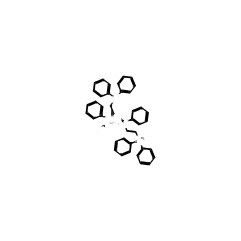 C[Si](CCP(=O)(c1ccccc1)c1ccccc1)(O[Si](C)(CCP(=O)(c1ccccc1)c1ccccc1)c1ccccc1)c1ccccc1